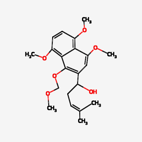 COCOc1c(C(O)CC=C(C)C)cc(OC)c2c(OC)ccc(OC)c12